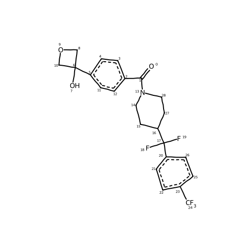 O=C(c1ccc(C2(O)COC2)cc1)N1CCC(C(F)(F)c2ccc(C(F)(F)F)cc2)CC1